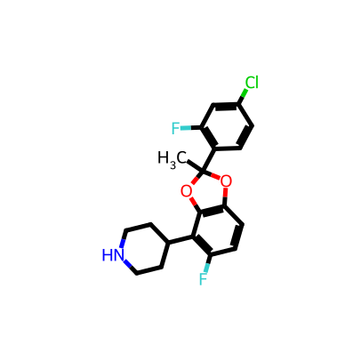 CC1(c2ccc(Cl)cc2F)Oc2ccc(F)c(C3CCNCC3)c2O1